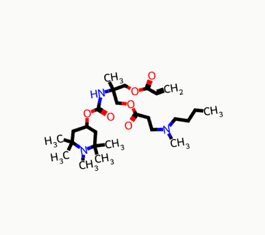 C=CC(=O)OCC(C)(COC(=O)CCN(C)CCCC)NC(=O)OC1CC(C)(C)N(C)C(C)(C)C1